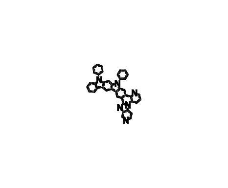 c1ccc(-n2c3ccccc3c3cc4c5cc6c(cc5n(-c5ccccc5)c4cc32)c2ncccc2n2c3ccncc3nc62)cc1